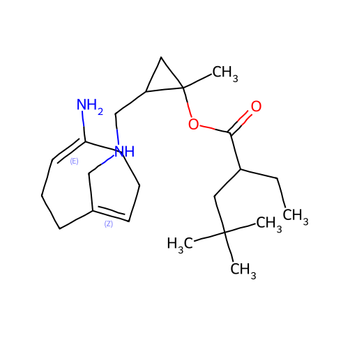 CCC(CC(C)(C)C)C(=O)OC1(C)CC1CNC/C1=C\CC/C(N)=C\CC1